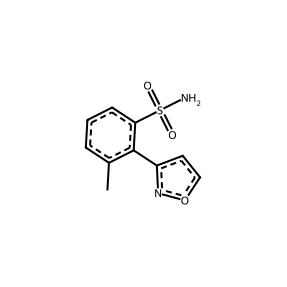 Cc1cccc(S(N)(=O)=O)c1-c1ccon1